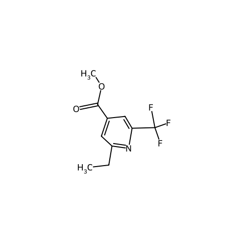 CCc1cc(C(=O)OC)cc(C(F)(F)F)n1